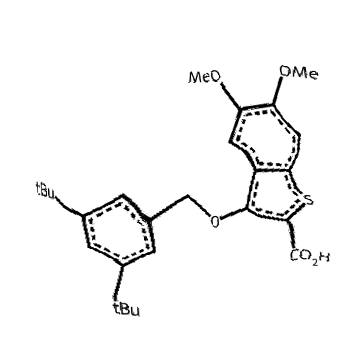 COc1cc2sc(C(=O)O)c(OCc3cc(C(C)(C)C)cc(C(C)(C)C)c3)c2cc1OC